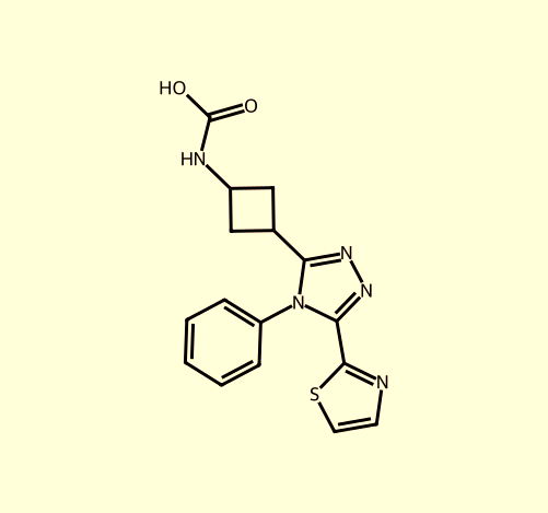 O=C(O)NC1CC(c2nnc(-c3nccs3)n2-c2ccccc2)C1